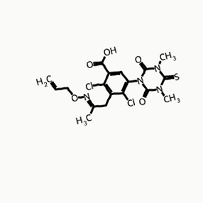 C=CCON=C(C)Cc1c(Cl)c(C(=O)O)cc(-n2c(=O)n(C)c(=S)n(C)c2=O)c1Cl